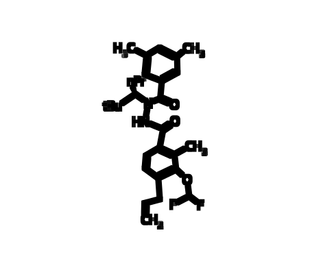 C=CCc1ccc(C(=O)NN(C(=O)c2cc(C)cc(C)c2)[C@H](CCC)C(C)(C)C)c(C)c1OC(F)F